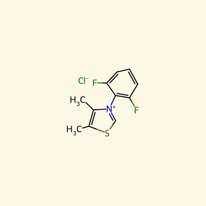 Cc1sc[n+](-c2c(F)cccc2F)c1C.[Cl-]